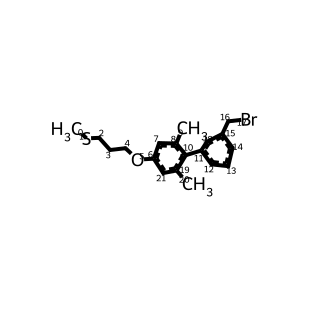 CSCCCOc1cc(C)c(-c2cccc(CBr)c2)c(C)c1